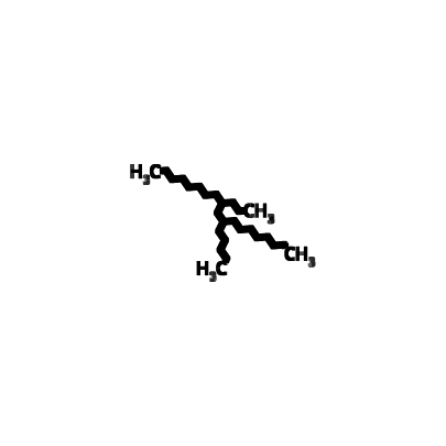 CCCCCCCCC(CCC)CC(CCCCC)CCCCCCCC